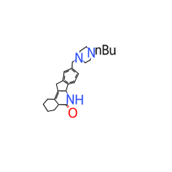 CCCCN1CCN(Cc2ccc3c(c2)CC2=C4CCCCC4C(=O)NC23)CC1